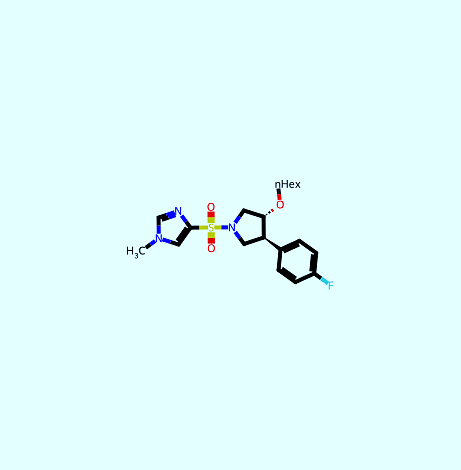 CCCCCCO[C@H]1CN(S(=O)(=O)c2cn(C)cn2)C[C@@H]1c1ccc(F)cc1